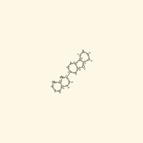 c1cnc2nc(-c3ccc4c(c3)oc3ccccc34)ccc2c1